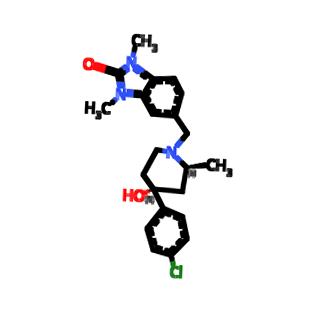 C[C@H]1C[C@@](O)(c2ccc(Cl)cc2)CCN1Cc1ccc2c(c1)n(C)c(=O)n2C